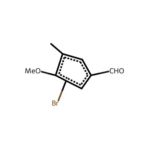 COc1c(C)cc(C=O)cc1Br